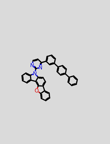 c1ccc(-c2ccc(-c3cccc(-c4ccnc(-n5c6ccccc6c6c7oc8ccccc8c7ccc65)n4)c3)cc2)cc1